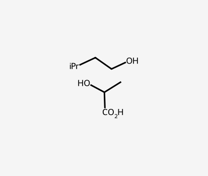 CC(C)CCO.CC(O)C(=O)O